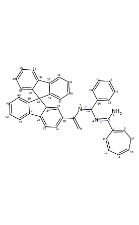 C=C(/N=C(\N=C(/N)C1=CCC=CC=C1)c1ccccc1)c1ccc2c(c1)C1(c3ccccc3-c3ccccc31)c1ccccc1-2